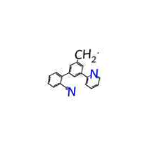 [CH2]c1cc(-c2ccccn2)cc(-c2ccccc2C#N)c1